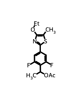 CCOc1nc(-c2cc(F)c(C(C)OC(C)=O)c(F)c2)sc1C